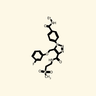 CCNC(=O)c1ccc(-n2nnc(C(=O)NCCS(C)(=O)=O)c2COc2cccc(F)c2)cc1